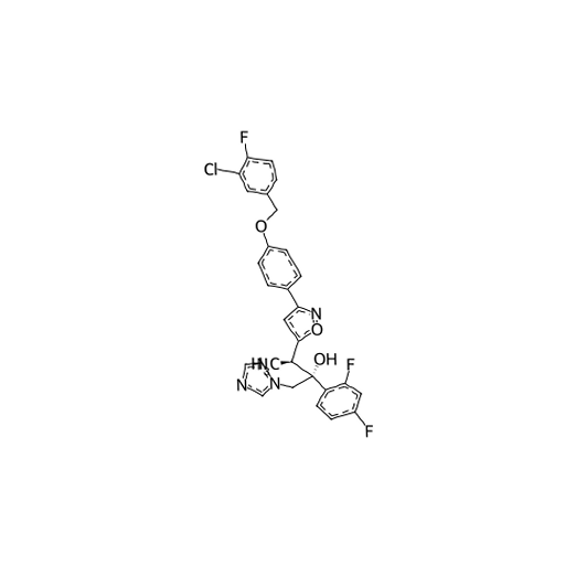 C[C@@H](c1cc(-c2ccc(OCc3ccc(F)c(Cl)c3)cc2)no1)[C@](O)(Cn1cncn1)c1ccc(F)cc1F